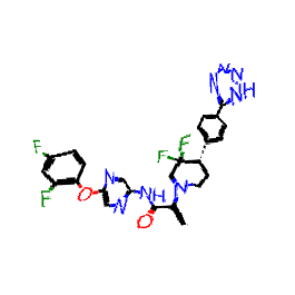 C=C(C(=O)Nc1cnc(Oc2ccc(F)cc2F)cn1)N1CC[C@@H](c2ccc(-c3nnn[nH]3)cc2)C(F)(F)C1